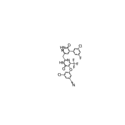 N#Cc1cc(Cl)cc(Oc2c(C(F)(F)F)nc(Cc3cc(-c4cc(F)cc(Cl)c4)c(=O)[nH]n3)[nH]c2=O)c1